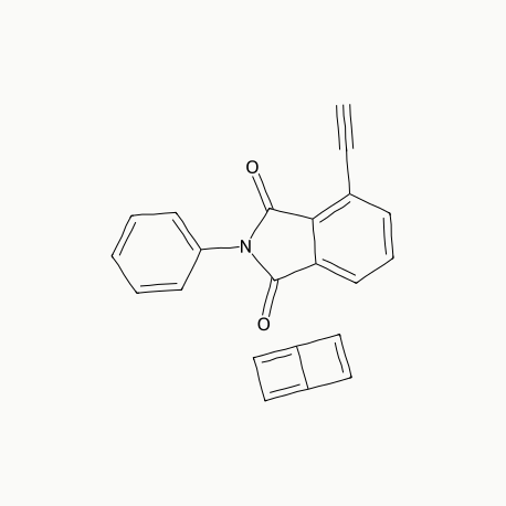 C#Cc1cccc2c1C(=O)N(c1ccccc1)C2=O.c1cc2ccc1-2